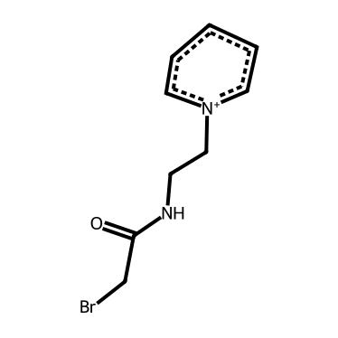 O=C(CBr)NCC[n+]1ccccc1